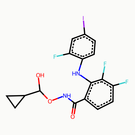 O=C(NOC(O)C1CC1)c1ccc(F)c(F)c1Nc1ccc(I)cc1F